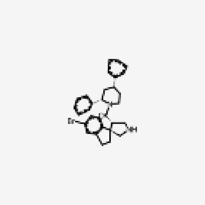 O=C([C@@H]1CNC[C@]12CCc1cc(Br)ccc12)N1CC[C@@H](c2ccccc2)C[C@H]1c1ccccc1